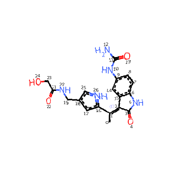 C/C(=C1\C(=O)Nc2ccc(NC(N)=O)cc21)c1cc(CNC(=O)CO)c[nH]1